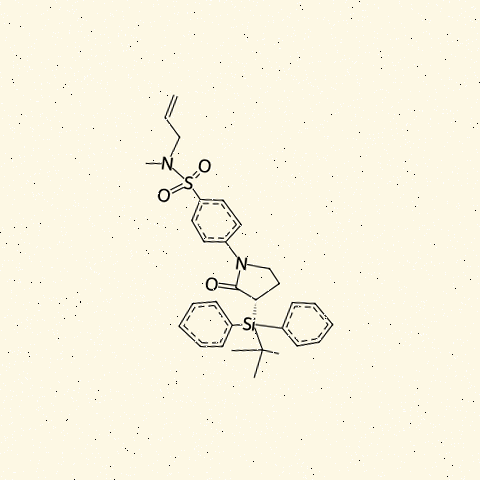 C=CCN(C)S(=O)(=O)c1ccc(N2CC[C@H]([Si](c3ccccc3)(c3ccccc3)C(C)(C)C)C2=O)cc1